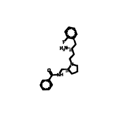 N[C@@H](CCN1CCC[C@H]1CNC(=O)c1ccccc1)Cc1ccccc1F